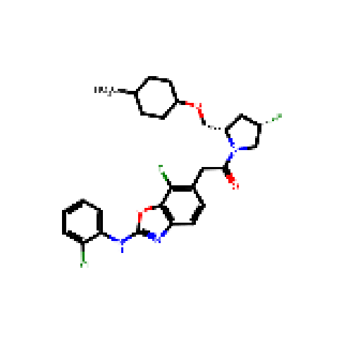 O=C(O)C1CCC(OC[C@@H]2C[C@H](F)CN2C(=O)Cc2ccc3nc(Nc4ccccc4Cl)oc3c2F)CC1